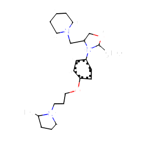 CC1CCCN1CCCOc1ccc(N2C(CN3CCCCC3)COC2C=O)cc1